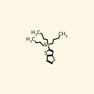 CCC[CH2][Sn]([CH2]CCC)([CH2]CCC)[c]1cc2sccc2s1